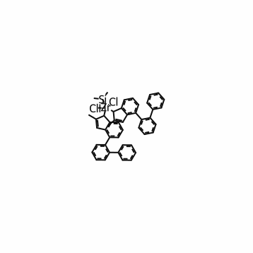 CC1=Cc2c(-c3ccccc3-c3ccccc3)cccc2[CH]1[Zr]([Cl])([Cl])([CH]1C(C)=Cc2c(-c3ccccc3-c3ccccc3)cccc21)[SiH](C)C